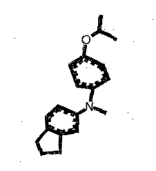 CC(C)Oc1ccc(N(C)c2ccc3c(c2)CCC3)cc1